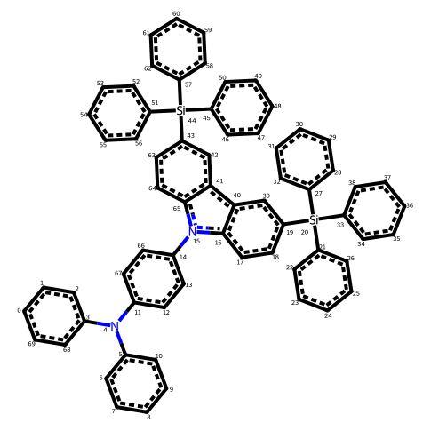 c1ccc(N(c2ccccc2)c2ccc(-n3c4ccc([Si](c5ccccc5)(c5ccccc5)c5ccccc5)cc4c4cc([Si](c5ccccc5)(c5ccccc5)c5ccccc5)ccc43)cc2)cc1